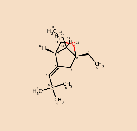 CC[C@]12C/C(=C\[Si](C)(C)C)[C@H]([C@H](C)O1)[C@H]2C